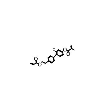 C=CC(=O)OCCc1ccc(-c2ccc(OC(=O)C(=C)C)cc2F)cc1